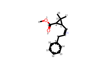 COC(=O)C1C(/C=C\Cc2ccccc2)C1(C)C